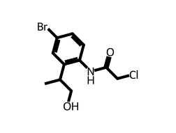 CC(CO)c1cc(Br)ccc1NC(=O)CCl